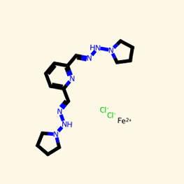 C(=NNN1CCCC1)c1cccc(C=NNN2CCCC2)n1.[Cl-].[Cl-].[Fe+2]